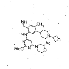 COc1nc(Nc2cc(C3CCN(C4COC4)CC3)c(C)cc2C=N)cc(N2CCOC(C(C)=O)C2)n1